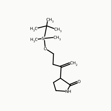 C=C(CCO[Si](C)(C)C(C)(C)C)C1CCNC1=O